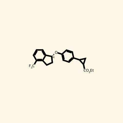 CCOC(=O)C1CC1c1ccc(O[C@@H]2CCc3c2cccc3C(F)(F)F)cc1